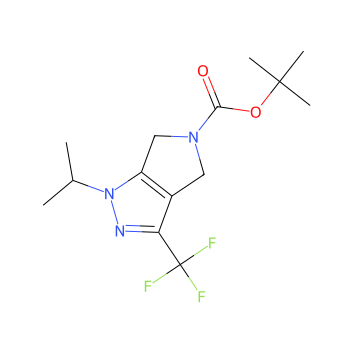 CC(C)n1nc(C(F)(F)F)c2c1CN(C(=O)OC(C)(C)C)C2